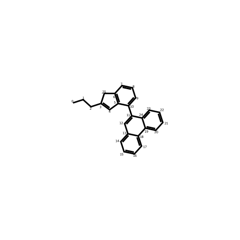 CCCC1=Cc2c(cccc2-c2cc3ccccc3c3ccccc23)[CH]1